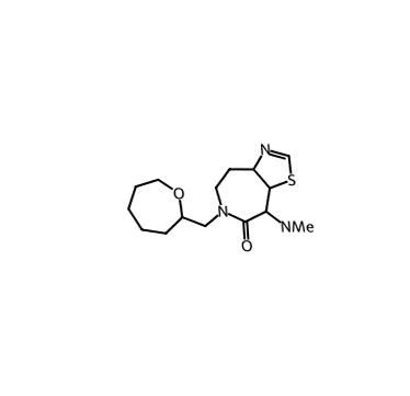 CNC1C(=O)N(CC2CCCCCO2)CCC2N=CSC21